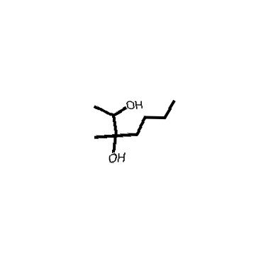 CCCCC(C)(O)C(C)O